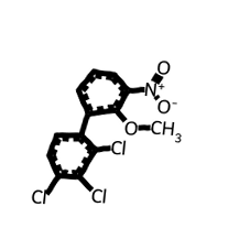 COc1c(-c2ccc(Cl)c(Cl)c2Cl)cccc1[N+](=O)[O-]